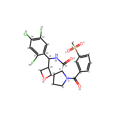 CS(=O)(=O)c1cccc(C(=O)N2CCC[C@@H]2C(=O)NC(c2cc(F)c(Cl)cc2F)C2COC2)c1